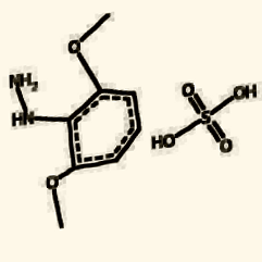 COc1cccc(OC)c1NN.O=S(=O)(O)O